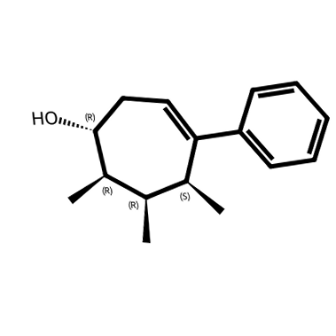 C[C@@H]1[C@H](C)[C@H](C)C(c2ccccc2)=CC[C@H]1O